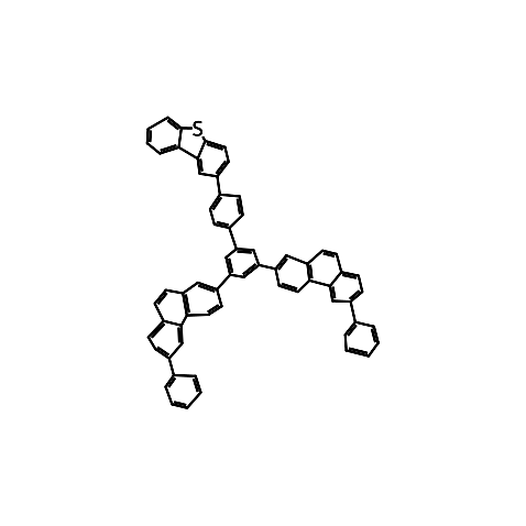 c1ccc(-c2ccc3ccc4cc(-c5cc(-c6ccc(-c7ccc8sc9ccccc9c8c7)cc6)cc(-c6ccc7c(ccc8ccc(-c9ccccc9)cc87)c6)c5)ccc4c3c2)cc1